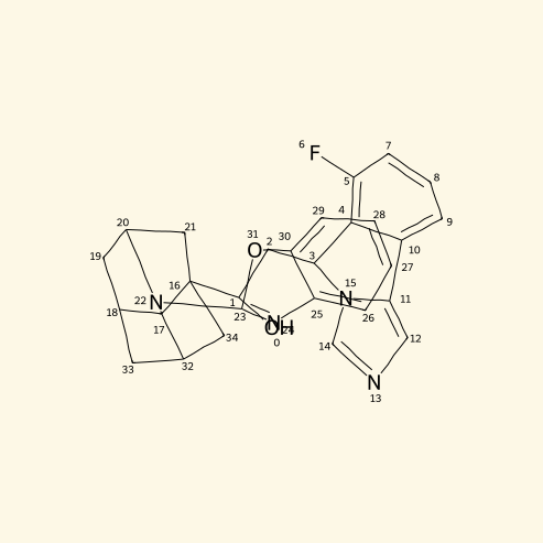 OC(CC1c2c(F)cccc2-c2cncn21)C12CC3CC(C1)N(c1nc4ccccc4o1)C(C3)C2